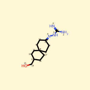 N=C(N)NN=C1CCC2(CC1)CCC(CO)CC2